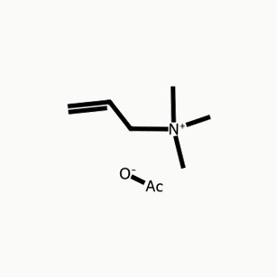 C=CC[N+](C)(C)C.CC(=O)[O-]